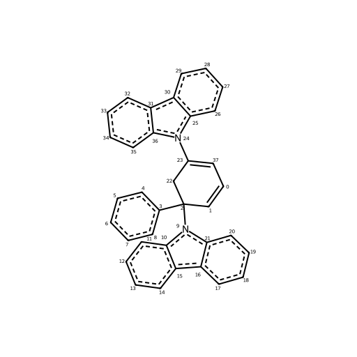 C1=CC(c2ccccc2)(n2c3ccccc3c3ccccc32)CC(n2c3ccccc3c3ccccc32)=C1